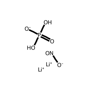 O=N[O-].O=P([O-])(O)O.[Li+].[Li+]